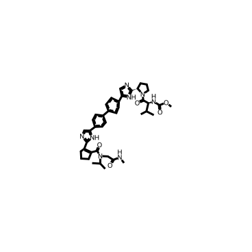 CNC(=O)CN(C(=O)C1=C(c2ncc(-c3ccc(-c4ccc(-c5cnc([C@@H]6CCCN6C(=O)[C@@H](NC(=O)OC)C(C)C)[nH]5)cc4)cc3)[nH]2)CCC1)C(C)C